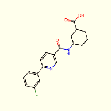 O=C(NC1CCCC(C(=O)O)C1)c1ccc(-c2cccc(F)c2)nc1